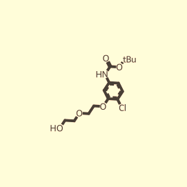 CC(C)(C)OC(=O)Nc1ccc(Cl)c(OCCOCCO)c1